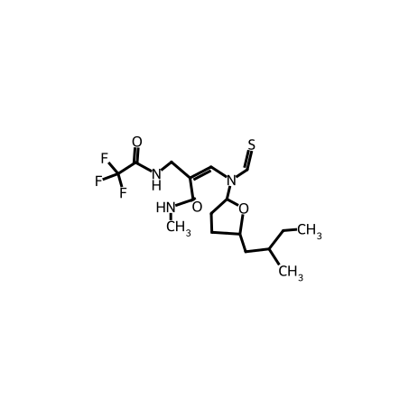 CCC(C)CC1CCC(N(C=S)/C=C(/CNC(=O)C(F)(F)F)C(=O)NC)O1